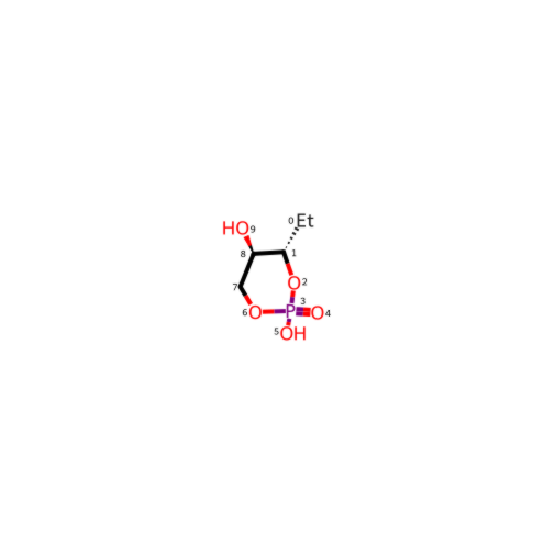 CC[C@@H]1OP(=O)(O)OC[C@H]1O